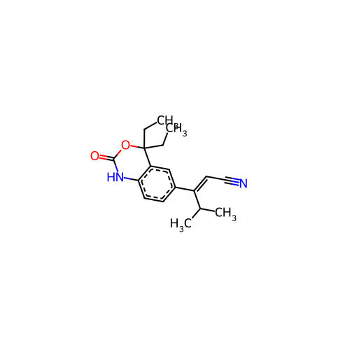 CCC1(CC)OC(=O)Nc2ccc(C(=CC#N)C(C)C)cc21